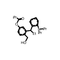 CCC(c1cc(OC(=O)C(C)C)ccc1CO)c1ccccc1N(C(C)C)C(C)C